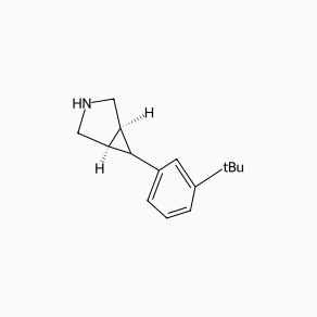 CC(C)(C)c1cccc(C2[C@H]3CNC[C@@H]23)c1